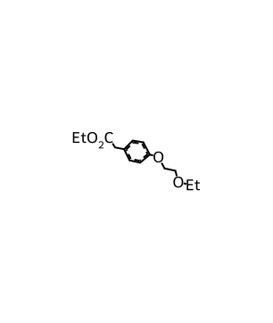 CCOCCOc1ccc(CC(=O)OCC)cc1